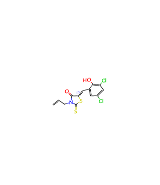 C=CCN1C(=O)/C(=C/c2cc(Cl)cc(Cl)c2O)SC1=S